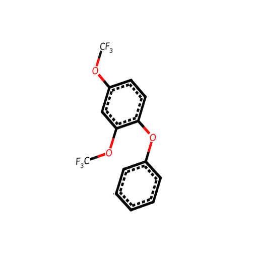 FC(F)(F)Oc1ccc(Oc2c[c]ccc2)c(OC(F)(F)F)c1